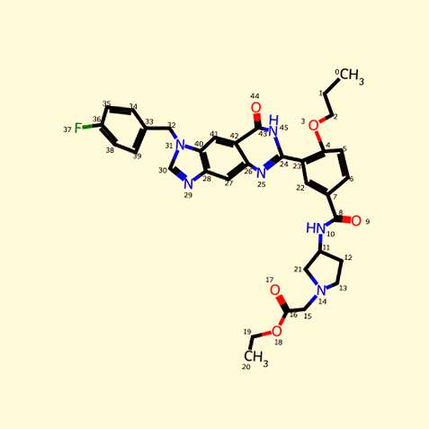 CCCOc1ccc(C(=O)NC2CCN(CC(=O)OCC)C2)cc1-c1nc2cc3ncn(Cc4ccc(F)cc4)c3cc2c(=O)[nH]1